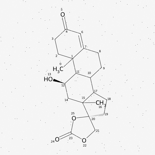 CC12CCC(=O)C=C1CCC1C2[C@H](O)CC2(C)C1CC[C@@]21COC(=O)O1